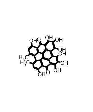 Cc1cc(O)c2c(=O)c3c(O)c(O)c(O)c4c5c(O)c(O)c(O)c6c(=O)c7c(O)cc(C)c8c1c2c(c34)c(c78)c65